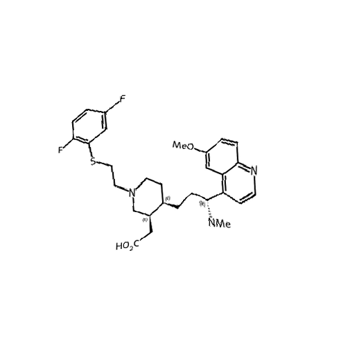 CN[C@H](CC[C@@H]1CCN(CCSc2cc(F)ccc2F)C[C@@H]1CC(=O)O)c1ccnc2ccc(OC)cc12